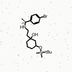 C[C@H](NCCC1(O)CCCC(O[Si](C)(C)C(C)(C)C)C1)c1ccc(Br)cc1